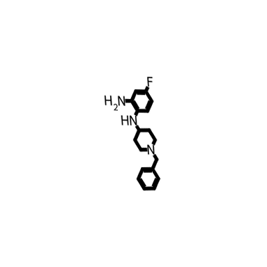 Nc1cc(F)ccc1NC1CCN(Cc2ccccc2)CC1